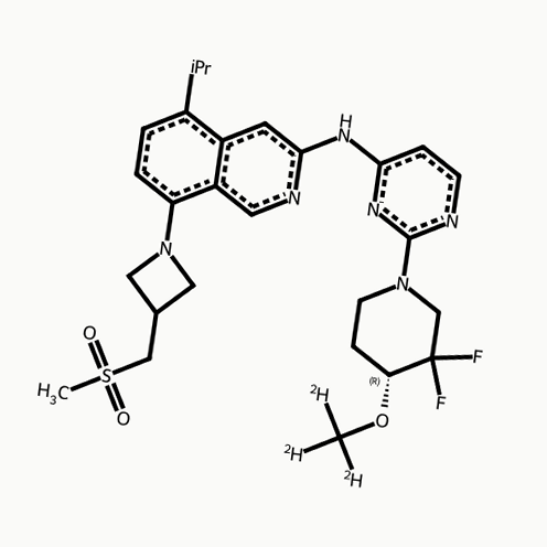 [2H]C([2H])([2H])O[C@@H]1CCN(c2nccc(Nc3cc4c(C(C)C)ccc(N5CC(CS(C)(=O)=O)C5)c4cn3)n2)CC1(F)F